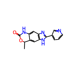 CC1OC(=O)Nc2cc3nc(-c4cccnc4)[nH]c3cc21